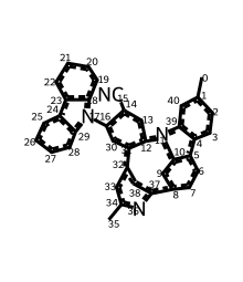 Cc1ccc2c3ccc4cc3n(c3cc(C#N)c(-n5c6ccccc6c6ccccc65)cc3c3cc(C)nc4c3)c2c1